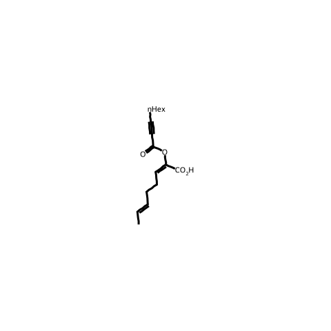 CC=CCCC=C(OC(=O)C#CCCCCCC)C(=O)O